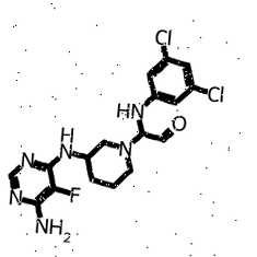 Nc1ncnc(NC2CCCN(C(C=O)Nc3cc(Cl)cc(Cl)c3)C2)c1F